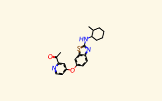 CC(=O)c1cc(Oc2ccc3nc(NC4CCCCC4C)sc3c2)ccn1